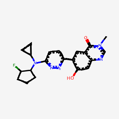 Cn1cnc2cc(O)c(-c3ccc(N(C4CC4)C4CCCC4F)nn3)cc2c1=O